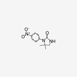 CC1(C)CNC(=O)N1c1ccc([N+](=O)[O-])cc1